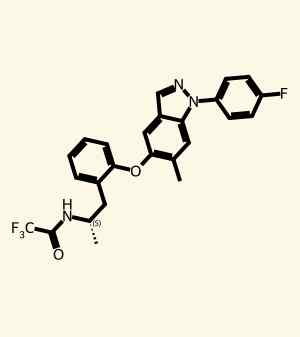 Cc1cc2c(cnn2-c2ccc(F)cc2)cc1Oc1ccccc1C[C@H](C)NC(=O)C(F)(F)F